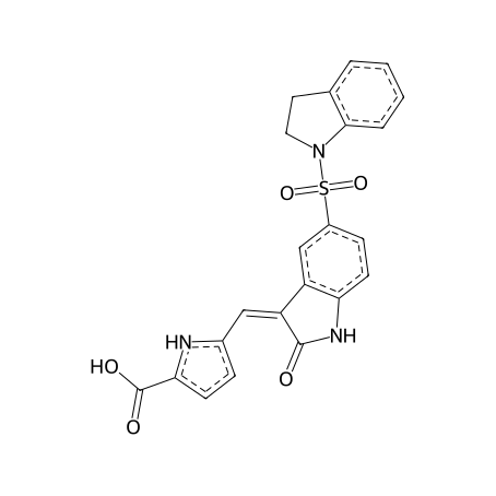 O=C1Nc2ccc(S(=O)(=O)N3CCc4ccccc43)cc2/C1=C/c1ccc(C(=O)O)[nH]1